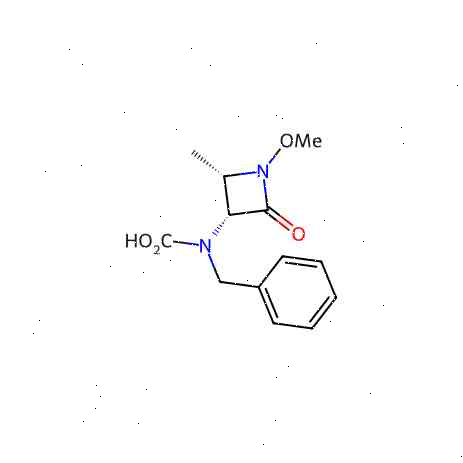 CON1C(=O)[C@H](N(Cc2ccccc2)C(=O)O)[C@@H]1C